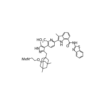 CNCCOC12CC3(C)CC(C)(CC(Cc4n[nH]c(C)c4-c4ccc(-c5[nH]c6c(C(=O)Nc7nc8ccccc8s7)cccc6c5C)nc4C(=O)O)(C3)C1)C2